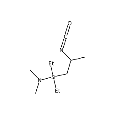 CC[Si](CC)(CC(C)N=C=O)N(C)C